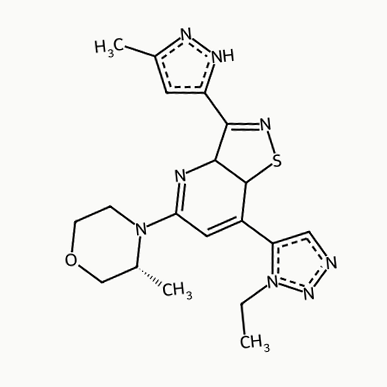 CCn1nncc1C1=CC(N2CCOC[C@H]2C)=NC2C(c3cc(C)n[nH]3)=NSC12